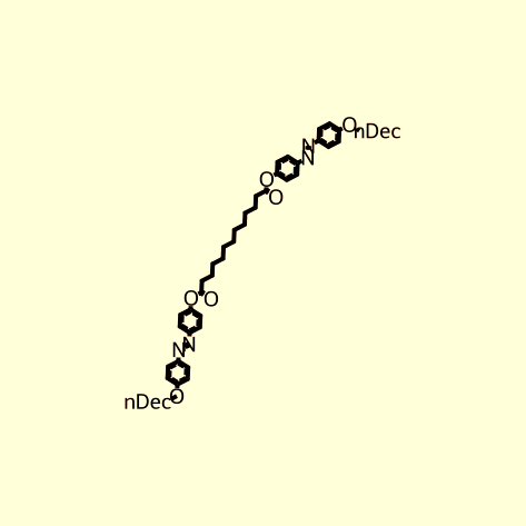 CCCCCCCCCCOc1ccc(/N=N/c2ccc(OC(=O)CCCCCCCCCCCC(=O)Oc3ccc(/N=N/c4ccc(OCCCCCCCCCC)cc4)cc3)cc2)cc1